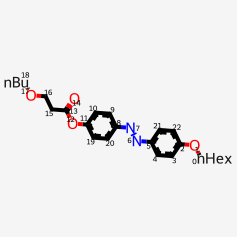 CCCCCCOc1ccc(/N=N/c2ccc(OC(=O)CCOCCCC)cc2)cc1